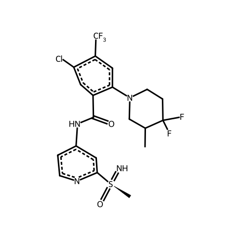 CC1CN(c2cc(C(F)(F)F)c(Cl)cc2C(=O)Nc2ccnc([S@](C)(=N)=O)c2)CCC1(F)F